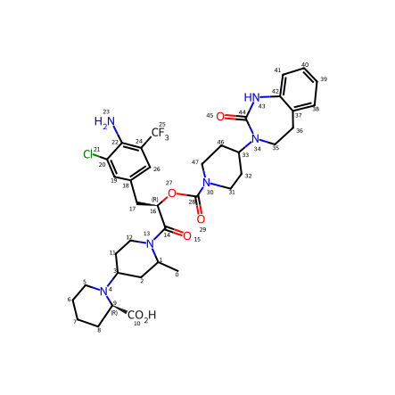 CC1CC(N2CCCC[C@@H]2C(=O)O)CCN1C(=O)[C@@H](Cc1cc(Cl)c(N)c(C(F)(F)F)c1)OC(=O)N1CCC(N2CCc3ccccc3NC2=O)CC1